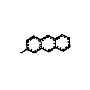 Ic1[c]c2cc3ccccc3cc2cc1